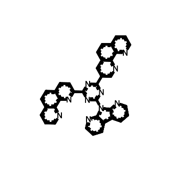 c1cnc2c(c1)ccc1cc(-c3nc(-c4ccc5ccc6cccnc6c5n4)nc(-n4c5ncccc5c5cccnc54)n3)cnc12